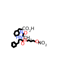 CC(NC(CCc1ccccc1)C(=O)OCCCCCO[N+](=O)[O-])C(=O)N1C(C(=O)O)CC2CCCCC21